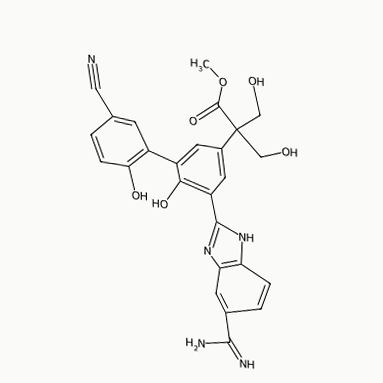 COC(=O)C(CO)(CO)c1cc(-c2nc3cc(C(=N)N)ccc3[nH]2)c(O)c(-c2cc(C#N)ccc2O)c1